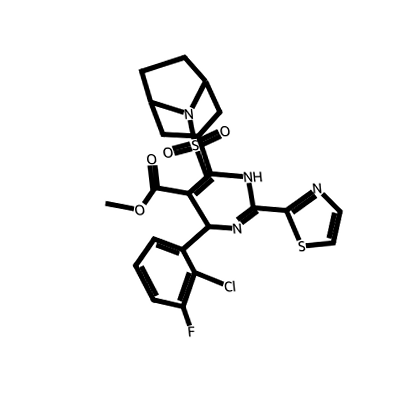 COC(=O)C1=C(C2CC3CCC(C2)N3S(C)(=O)=O)NC(c2nccs2)=NC1c1cccc(F)c1Cl